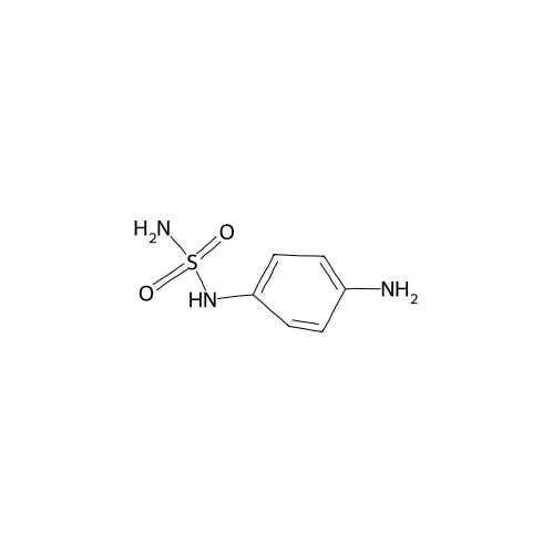 Nc1ccc(NS(N)(=O)=O)cc1